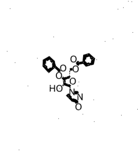 O=C(OC[C@@H]1O[C@H](n2ccc(=O)nc2)[C@@H](O)C1OC(=O)c1ccccc1)c1ccccc1